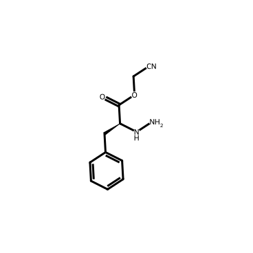 N#CCOC(=O)[C@H](Cc1ccccc1)NN